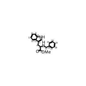 COC(=O)C(Cc1c[nH]c2ccccc12)NCc1ccccc1